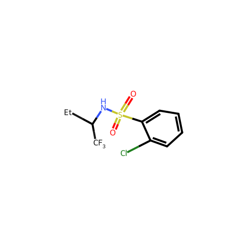 CCC(NS(=O)(=O)c1ccccc1Cl)C(F)(F)F